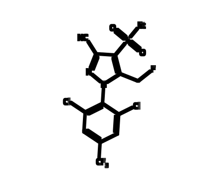 CCS(=O)(=O)c1c(C#N)nn(-c2c(Cl)cc(C(F)(F)F)cc2Cl)c1CF